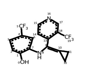 Oc1ccc(C(F)(F)F)cc1NC(=C1CC1)c1ccncc1C(F)(F)F